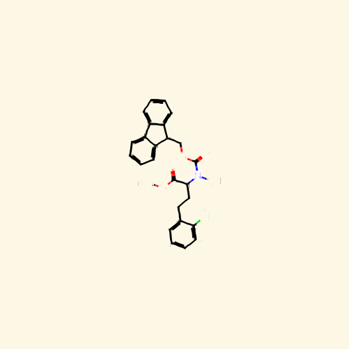 CN(C(=O)OCC1c2ccccc2-c2ccccc21)C(CCc1ccccc1Cl)C(=O)OC(C)(C)C